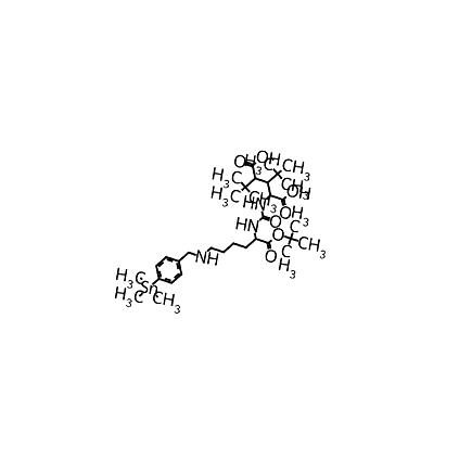 CC(C)(C)OC(=O)C(CCCCNCc1cc[c]([Sn]([CH3])([CH3])[CH3])cc1)NC(=O)NC(C(=O)O)C(C(C(=O)O)C(C)(C)C)C(C)(C)C